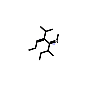 CC/C=C(\C(=N/C)C(C)CC)C(C)C